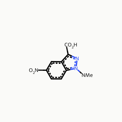 CNn1nc(C(=O)O)c2cc([N+](=O)[O-])ccc21